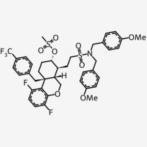 COc1ccc(CN(Cc2ccc(OC)cc2)S(=O)(=O)CC[C@@H]2[C@@H](OS(C)(=O)=O)CC[C@@]3(Cc4ccc(C(F)(F)F)cc4)c4c(F)ccc(F)c4OC[C@@H]23)cc1